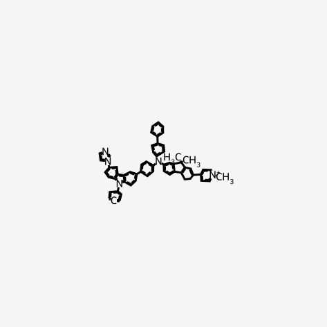 C[n+]1ccc(C2=CC3=C(CC2)c2ccc(N(c4ccc(-c5ccccc5)cc4)c4ccc(-c5ccc6c(c5)c5cc(-n7ccnc7)ccc5n6-c5ccccc5)cc4)cc2C3(C)C)cc1